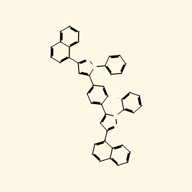 c1ccc(-n2nc(-c3cccc4ccccc34)cc2-c2ccc(-c3cc(-c4cccc5ccccc45)nn3-c3ccccc3)cc2)cc1